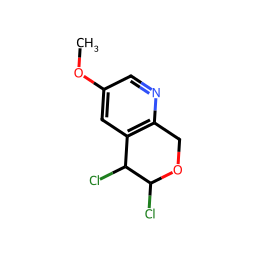 COc1cnc2c(c1)C(Cl)C(Cl)OC2